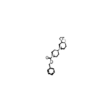 O=C(OCc1ccccc1)N1CCC(N2CCCC(C(F)(F)F)C2)CC1